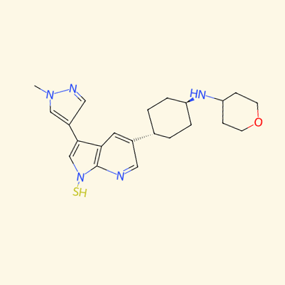 Cn1cc(-c2cn(S)c3ncc([C@H]4CC[C@H](NC5CCOCC5)CC4)cc23)cn1